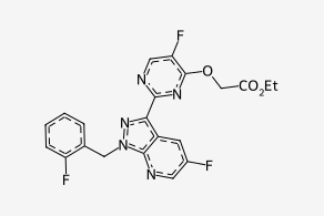 CCOC(=O)COc1nc(-c2nn(Cc3ccccc3F)c3ncc(F)cc23)ncc1F